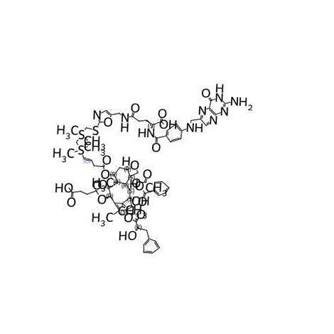 CC(=O)O[C@@]12CO[C@@H]1C[C@H](OC(=O)C/C=C/S(C)(C)CS(C)(C)CSc1ncc(CNC(=O)CC[C@H](NC(=O)c3ccc(NCc4cnc5nc(N)[nH]c(=O)c5n4)cc3)C(=O)O)o1)[C@@]1(C)C(=O)[C@H](OC(=O)CCC(=O)O)C3=C(C)[C@@H](OC(=O)[C@H](O)Cc4ccccc4)C[C@@](O)([C@@H](OC(=O)c4ccccc4)[C@H]21)C3(C)C